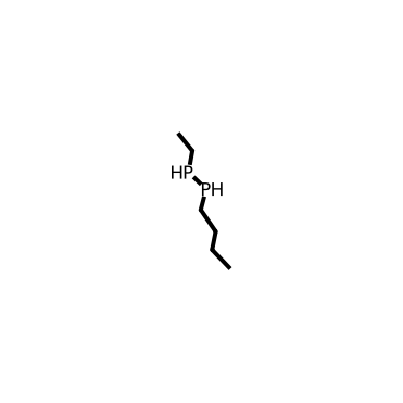 CCCCPPCC